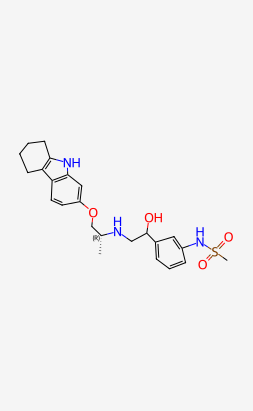 C[C@H](COc1ccc2c3c([nH]c2c1)CCCC3)NCC(O)c1cccc(NS(C)(=O)=O)c1